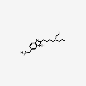 CCCN(CCC)CCCCc1nc2ccc(CN)cc2[nH]1